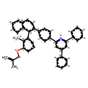 C=C(C)COc1cccc(-c2c(-c3ccc(-c4cc(-c5ccccc5)cc(-c5ccccc5)n4)cc3)ccc3ccccc23)c1C